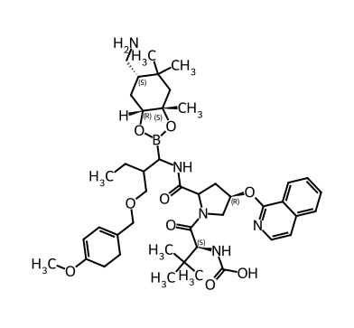 CCC(COCC1=CC=C(OC)CC1)C(NC(=O)C1C[C@@H](Oc2nccc3ccccc23)CN1C(=O)[C@@H](NC(=O)O)C(C)(C)C)B1O[C@@H]2C[C@H](CN)C(C)(C)C[C@]2(C)O1